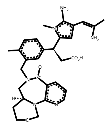 C/C(N)=C/c1cc([C@@H](CC(=O)O)c2ccc(C)c(CN3C[C@@H]4CCCCN4c4ncccc4[S+]3[O-])c2)n(C)c1N